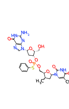 Cc1cn([C@H]2C[C@@H](C)[C@@H](COP(=O)(O[C@@H]3C[C@H](n4cnc5c(=O)[nH]c(N)nc54)O[C@@H]3CO)Sc3ccccc3)O2)c(=O)[nH]c1=O